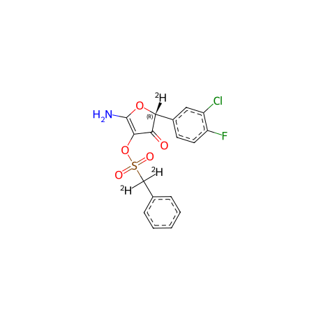 [2H]C([2H])(c1ccccc1)S(=O)(=O)OC1=C(N)O[C@]([2H])(c2ccc(F)c(Cl)c2)C1=O